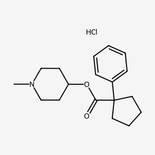 CN1CCC(OC(=O)C2(c3ccccc3)CCCC2)CC1.Cl